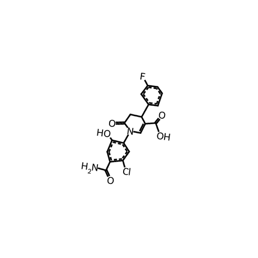 NC(=O)c1cc(O)c(N2C=C(C(=O)O)C(c3cccc(F)c3)CC2=O)cc1Cl